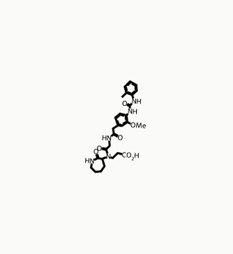 COc1cc(CC(=O)NCC(=O)N(CCC(=O)O)C2CCCCNC2=O)ccc1NC(=O)Nc1ccccc1C